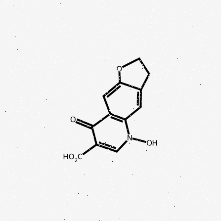 O=C(O)c1cn(O)c2cc3c(cc2c1=O)OCC3